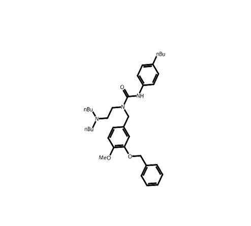 CCCCc1ccc(NC(=O)N(CCN(CCCC)CCCC)Cc2ccc(OC)c(OCc3ccccc3)c2)cc1